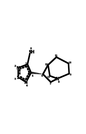 Sc1nsnc1[C@H]1CN2CCCC1C2